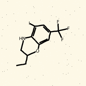 CCC1CNc2c(I)cc(C(F)(F)F)cc2O1